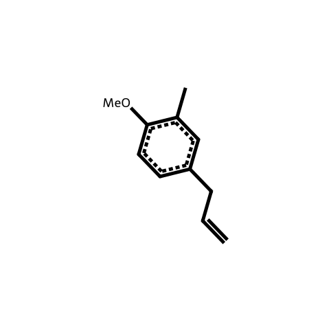 C=CCc1ccc(OC)c(C)c1